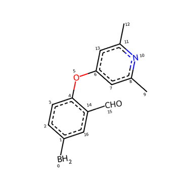 Bc1ccc(Oc2cc(C)nc(C)c2)c(C=O)c1